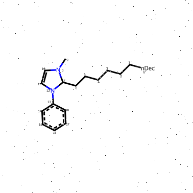 CCCCCCCCCCCCCCCCC1N(C)C=CN1c1ccccc1